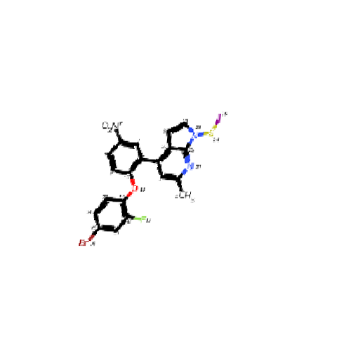 Cc1cc(-c2cc([N+](=O)[O-])ccc2Oc2ccc(Br)cc2F)c2ccn(SI)c2n1